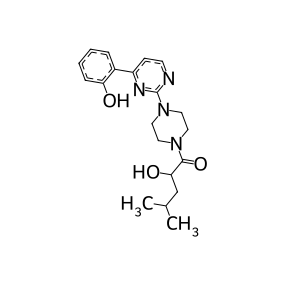 CC(C)CC(O)C(=O)N1CCN(c2nccc(-c3ccccc3O)n2)CC1